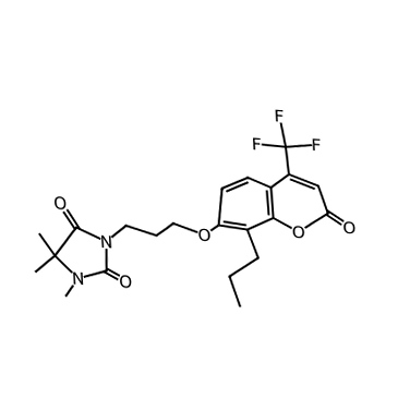 CCCc1c(OCCCN2C(=O)N(C)C(C)(C)C2=O)ccc2c(C(F)(F)F)cc(=O)oc12